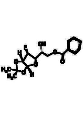 CC1(C)O[C@H]2O[C@H]([C@H](O)COC(=O)c3ccccc3)[C@H](F)[C@H]2O1